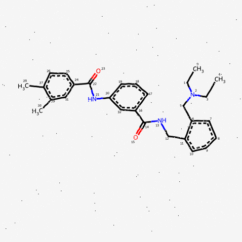 CCN(CC)Cc1ccccc1CNC(=O)c1cccc(NC(=O)c2ccc(C)c(C)c2)c1